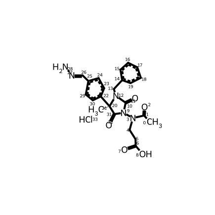 CC(=O)N(CCC(=O)O)N1C(=O)N(Cc2ccccc2)[C@](C)(c2ccc(C=NN)cc2)C1=O.Cl